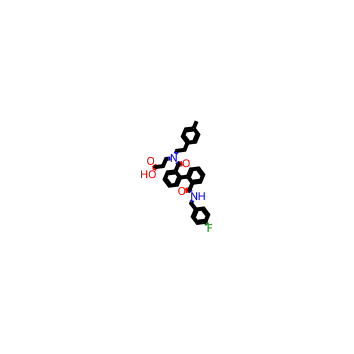 Cc1ccc(CCN(CCC(=O)O)C(=O)c2ccccc2-c2ccccc2C(=O)NCc2ccc(F)cc2)cc1